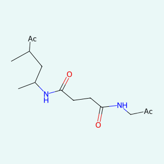 CC(=O)CNC(=O)CCC(=O)NC(C)CC(C)C(C)=O